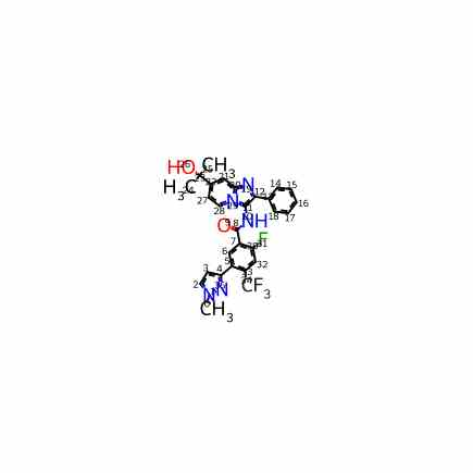 Cn1ccc(-c2cc(C(=O)Nc3c(-c4ccccc4)nc4cc(C(C)(C)O)ccn34)c(F)cc2C(F)(F)F)n1